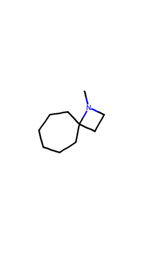 CN1CCC12CCCCCC2